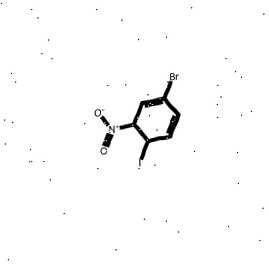 O=[N+]([O-])C1C=C(Br)C=CC1I